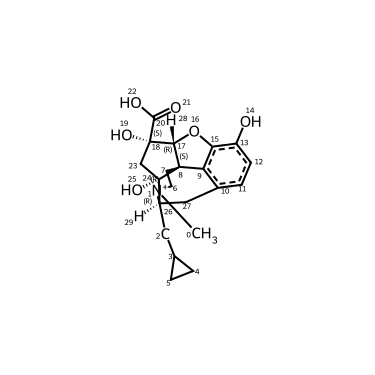 C[N+]1(CC2CC2)CC[C@]23c4c5ccc(O)c4O[C@H]2[C@](O)(C(=O)O)C[C@]3(O)[C@H]1C5